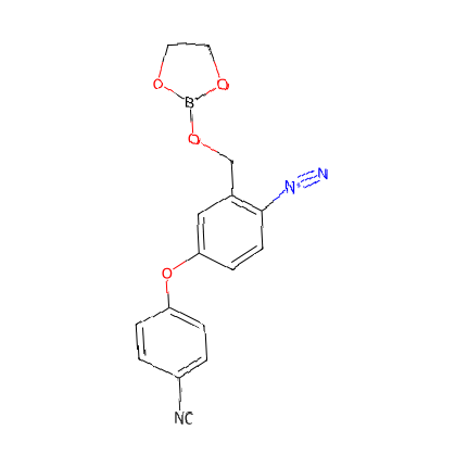 [C-]#[N+]c1ccc(Oc2ccc([N+]#N)c(COB3OCCO3)c2)cc1